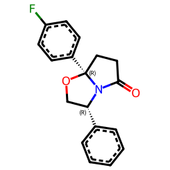 O=C1CC[C@]2(c3ccc(F)cc3)OC[C@@H](c3ccccc3)N12